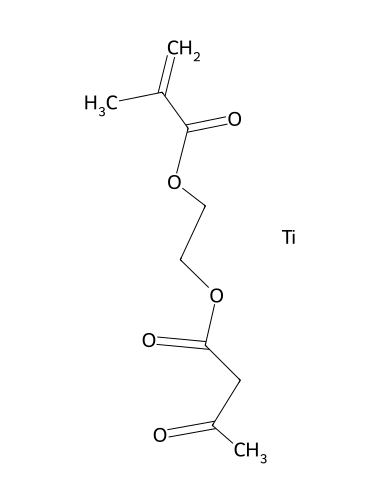 C=C(C)C(=O)OCCOC(=O)CC(C)=O.[Ti]